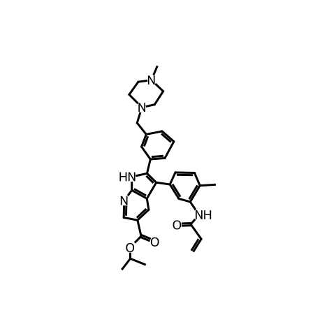 C=CC(=O)Nc1cc(-c2c(-c3cccc(CN4CCN(C)CC4)c3)[nH]c3ncc(C(=O)OC(C)C)cc23)ccc1C